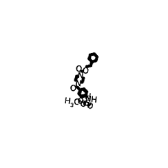 COc1cc(C(=O)N2CCN(C(=O)OCCC3CCCCC3)CC2)ccc1N[SH](=O)=O